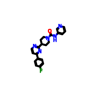 O=C(Nc1cccnc1)N1CCC(c2nccc(-c3ccc(F)cc3)n2)CC1